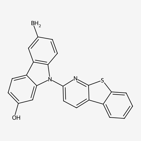 Bc1ccc2c(c1)c1ccc(O)cc1n2-c1ccc2c(n1)sc1ccccc12